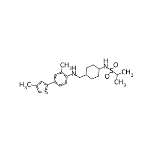 Cc1csc(-c2ccc(NCC3CCC(NS(=O)(=O)C(C)C)CC3)c(C)c2)c1